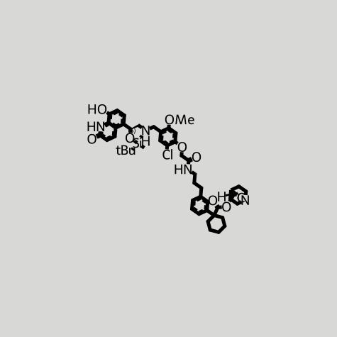 COc1cc(OCC(=O)NCCCc2cccc(C3(C(=O)O[C@H]4CN5CCC4CC5)CCCCC3)c2)c(Cl)cc1CNC[C@@H](O[Si](C)(C)C(C)(C)C)c1ccc(O)c2[nH]c(=O)ccc12